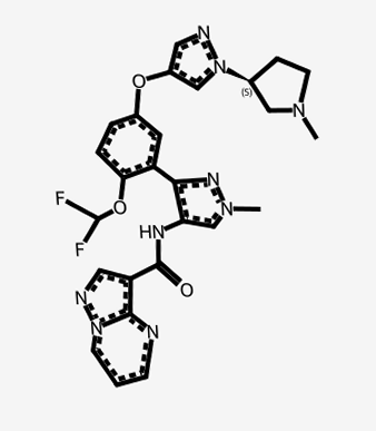 CN1CC[C@H](n2cc(Oc3ccc(OC(F)F)c(-c4nn(C)cc4NC(=O)c4cnn5cccnc45)c3)cn2)C1